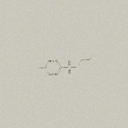 O=S(=O)(NCCCl)c1ccc(C(F)(F)F)cc1